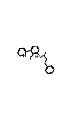 CC(CCc1ccccc1)Nc1cccc(-c2c[c]ccn2)c1F